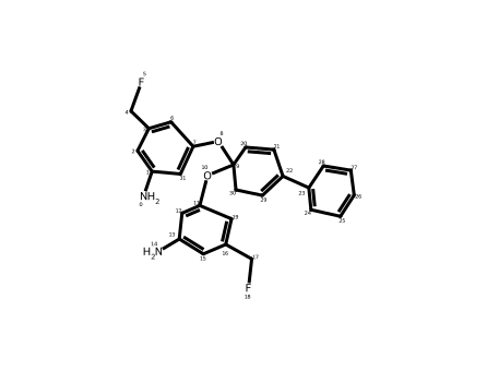 Nc1cc(CF)cc(OC2(Oc3cc(N)cc(CF)c3)C=CC(c3ccccc3)=CC2)c1